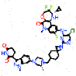 C[C@@H]1CN(c2ccc3c(C4CCC(=O)NC4=O)nn(C)c3c2)CCN1CC1CCC2(CC1)CN(c1ncc(Cl)c(Nc3cc4c5c(c(=O)n(C)c4cc3F)OCC(F)(F)[C@H](C3CC3)N5)n1)C2